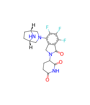 O=C1CCC(N2Cc3c(c(F)c(F)c(F)c3N3C[C@H]4CC[C@@H](C3)N4)C2=O)C(=O)N1